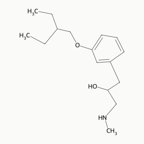 CCC(CC)COc1cccc(CC(O)CNC)c1